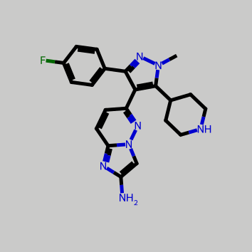 Cn1nc(-c2ccc(F)cc2)c(-c2ccc3nc(N)cn3n2)c1C1CCNCC1